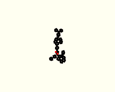 c1ccc(-c2ccc(N(c3ccc(-c4ccc(-c5cc6c7c(ccc8ccc9c(c87)c7c8c-6cccc8ccc7n9-c6ccc(N(c7ccccc7)c7ccccc7)cc6)c5)cc4)cc3)c3cc4c5c6c(cccc36)-c3cccc6ccc7ccc(c5c7c36)n4-c3ccccc3)cc2)cc1